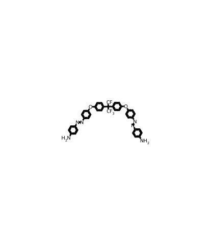 Nc1ccc(N=Nc2ccc(Oc3ccc(C(c4ccc(Oc5ccc(N=Nc6ccc(N)cc6)cc5)cc4)(C(F)(F)F)C(F)(F)F)cc3)cc2)cc1